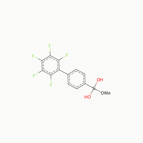 CO[Si](O)(O)c1ccc(-c2c(F)c(F)c(F)c(F)c2F)cc1